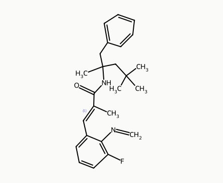 C=Nc1c(F)cccc1/C=C(\C)C(=O)NC(C)(Cc1ccccc1)CC(C)(C)C